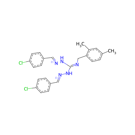 Cc1ccc(CN=C(N/N=C/c2ccc(Cl)cc2)N/N=C/c2ccc(Cl)cc2)c(C)c1